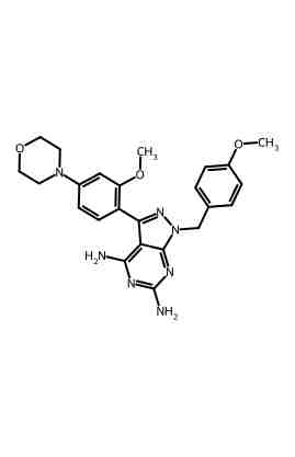 COc1ccc(Cn2nc(-c3ccc(N4CCOCC4)cc3OC)c3c(N)nc(N)nc32)cc1